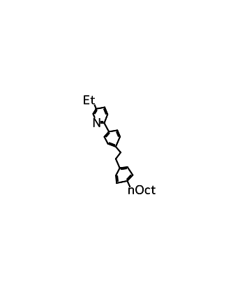 CCCCCCCCc1ccc(CCc2ccc(-c3ccc(CC)cn3)cc2)cc1